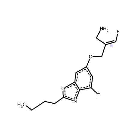 CCCCc1nc2c(F)cc(OC/C(=C/F)CN)cc2o1